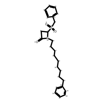 O=C1CC(S(=O)(=O)Cc2ccccc2)N1CCCCCCCCCc1ccccc1